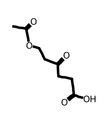 CC(=O)OCCC(=O)CCC(=O)O